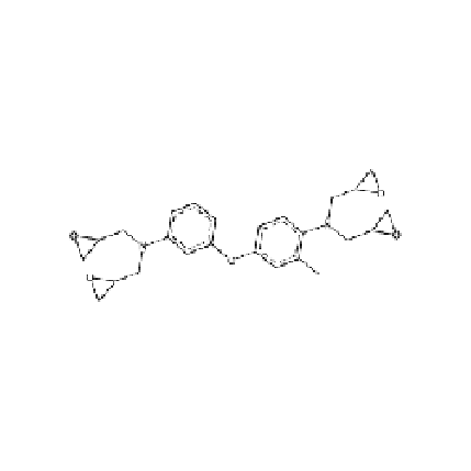 Cc1cc(Oc2cccc(N(CC3CO3)CC3CO3)c2)ccc1N(CC1CO1)CC1CO1